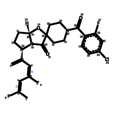 C=C(/C=C(F)\C=C(/C)F)[C@@H]1CC[C@H]2OC3(CCN(C(=O)c4ccc(Cl)cc4F)CC3)C(=O)N21